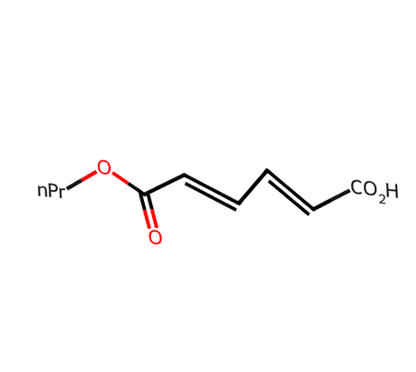 CCCOC(=O)C=CC=CC(=O)O